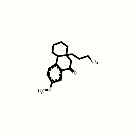 CCCCC12CCCCC1c1ccc(OC)cc1C(=O)C2